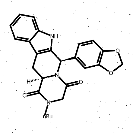 CCCCN1CC(=O)N2[C@H](c3ccc4c(c3)OCO4)c3[nH]c4ccccc4c3C[C@@H]2C1=O